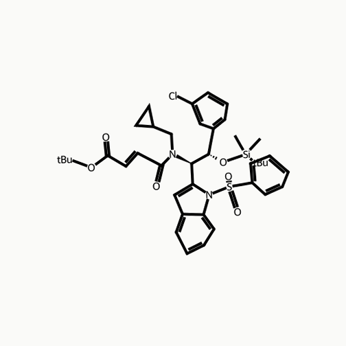 CC(C)(C)OC(=O)C=CC(=O)N(CC1CC1)[C@H](c1cc2ccccc2n1S(=O)(=O)c1ccccc1)[C@@H](O[Si](C)(C)C(C)(C)C)c1cccc(Cl)c1